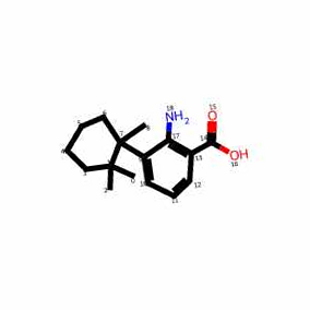 CC1(C)CCCCC1(C)c1cccc(C(=O)O)c1N